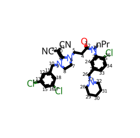 CCCN(C(=O)CCN1CCN(Cc2cc(Cl)cc(Cl)c2)C1=C(C#N)C#N)c1cc(CN2CCCCC2)ccc1Cl